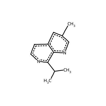 Cc1cnc2c(C(C)C)nccc2c1